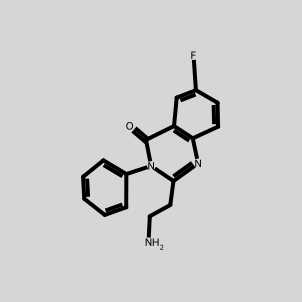 NCCc1nc2ccc(F)cc2c(=O)n1-c1ccccc1